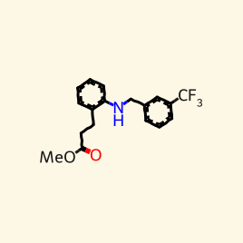 COC(=O)CCc1ccccc1NCc1cccc(C(F)(F)F)c1